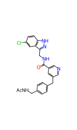 CC(=O)NCc1ccc(Cc2cncc(C(=O)NCc3n[nH]c4ccc(Cl)cc34)c2)cc1